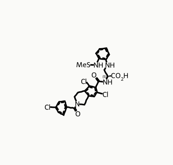 CSNc1ccccc1NC[C@H](NC(=O)c1c(Cl)cc2c(c1Cl)CCN(C(=O)c1ccc(Cl)cc1)C2)C(=O)O